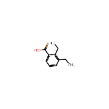 CCc1cccc(C(O)=S)c1CC